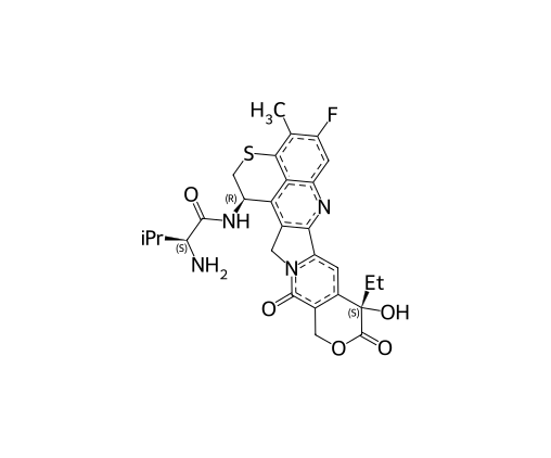 CC[C@@]1(O)C(=O)OCc2c1cc1n(c2=O)Cc2c-1nc1cc(F)c(C)c3c1c2[C@@H](NC(=O)[C@@H](N)C(C)C)CS3